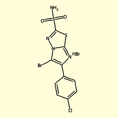 Br.NS(=O)(=O)c1nn2c(Br)c(-c3ccc(Cl)cc3)nc2s1